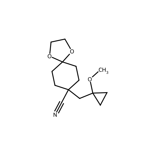 COC1(CC2(C#N)CCC3(CC2)OCCO3)CC1